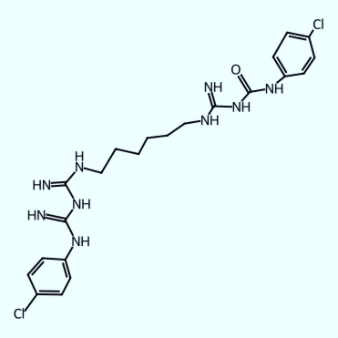 N=C(NCCCCCCNC(=N)NC(=O)Nc1ccc(Cl)cc1)NC(=N)Nc1ccc(Cl)cc1